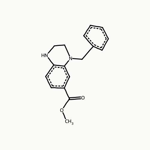 COC(=O)c1ccc2c(c1)N(Cc1ccccc1)CCN2